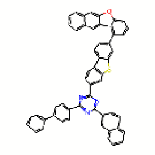 c1ccc(-c2ccc(-c3nc(-c4ccc5ccccc5c4)nc(-c4ccc5c(c4)sc4cc(-c6cccc7oc8cc9ccccc9cc8c67)ccc45)n3)cc2)cc1